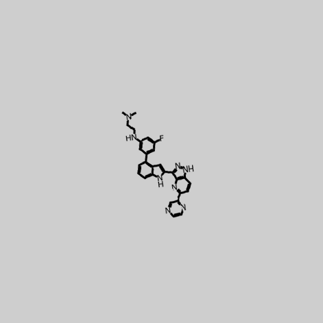 CN(C)CCNc1cc(F)cc(-c2cccc3[nH]c(-c4n[nH]c5ccc(-c6cnccn6)nc45)cc23)c1